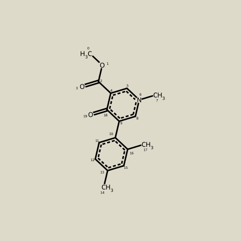 COC(=O)c1cn(C)cc(-c2ccc(C)cc2C)c1=O